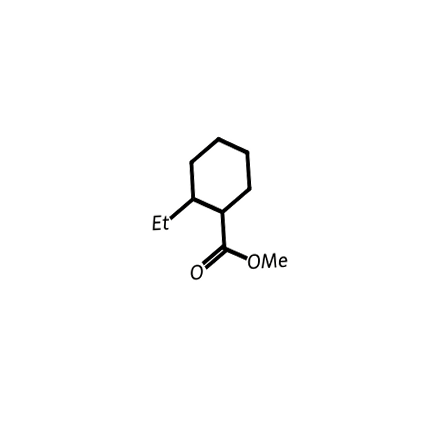 CCC1CCCCC1C(=O)OC